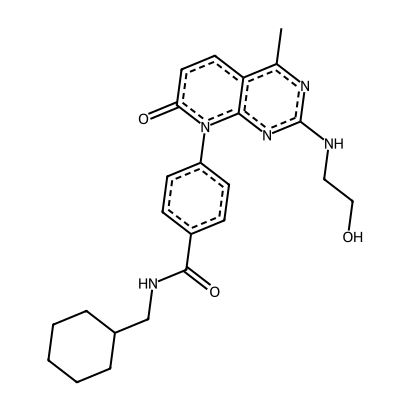 Cc1nc(NCCO)nc2c1ccc(=O)n2-c1ccc(C(=O)NCC2CCCCC2)cc1